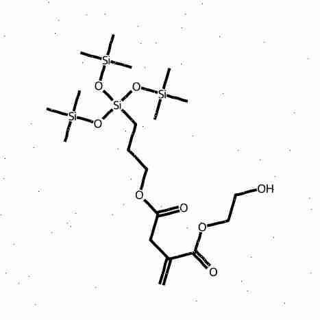 C=C(CC(=O)OCCC[Si](O[Si](C)(C)C)(O[Si](C)(C)C)O[Si](C)(C)C)C(=O)OCCO